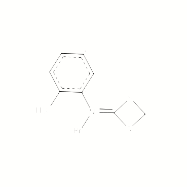 Cc1ccccc1[N+](Br)=C1SCS1